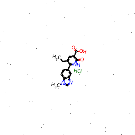 CCc1cc(C(=O)O)c(=O)[nH]c1-c1ccc2c(c1)ncn2C.Cl